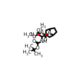 COC(=O)C(NC(=O)OC(C)(C)C)C1CC2CCC(C1)N2C(=O)N(C)C